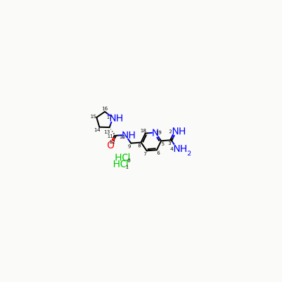 Cl.Cl.N=C(N)c1ccc(CNC(=O)[C@@H]2CCCN2)cn1